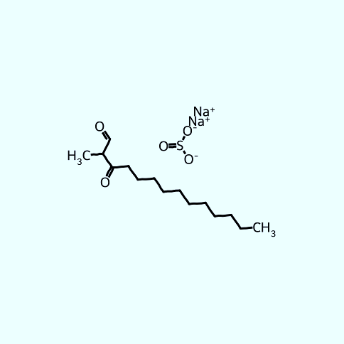 CCCCCCCCCCCC(=O)C(C)C=O.O=S([O-])[O-].[Na+].[Na+]